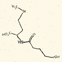 CCCCCCCCCCCC(=O)NC(CC[Se]C)C(=O)O